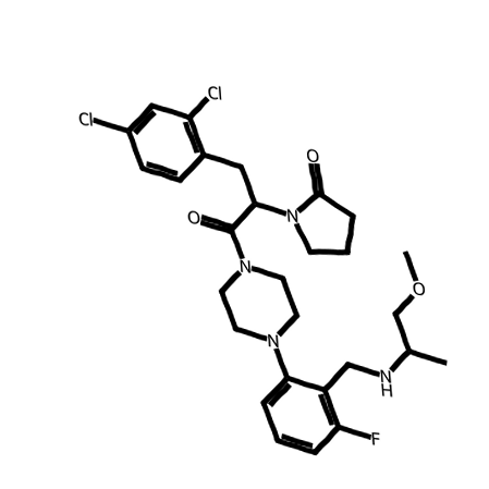 COCC(C)NCc1c(F)cccc1N1CCN(C(=O)C(Cc2ccc(Cl)cc2Cl)N2CCCC2=O)CC1